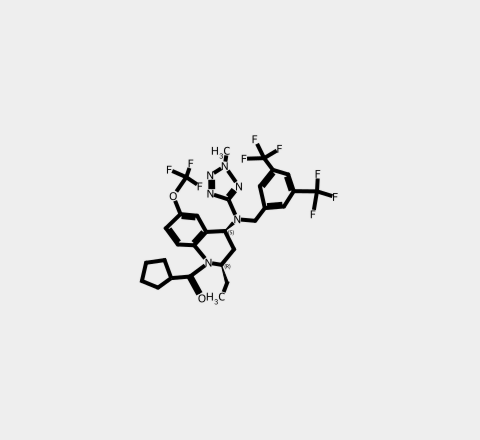 CC[C@@H]1C[C@H](N(Cc2cc(C(F)(F)F)cc(C(F)(F)F)c2)c2nnn(C)n2)c2cc(OC(F)(F)F)ccc2N1C(=O)C1CCCC1